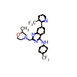 CC1CN(Cc2nc(Nc3ccc(C(F)(F)F)cc3)c3ccc(-c4ncccc4C(F)(F)F)cc3n2)CCO1